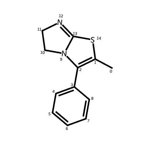 CC1=C(c2ccccc2)N2CCN=C2S1